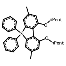 CCCCCOc1cc(C)cc2c1-c1c(OCCCCC)cc(C)cc1[Si]2(c1ccccc1)c1ccccc1